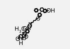 COc1c(N2CCN(CCCCCOc3ccc([C@@H]4c5ccc(O)cc5CC[C@@H]4c4ccccc4)cc3)CC2)ccc2c1CN(C1CCC(=O)NC1=O)C2=O